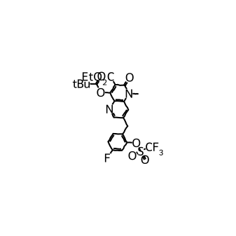 CCOC(=O)c1c(OC(=O)C(C)(C)C)c2ncc(Cc3ccc(F)cc3OS(=O)(=O)C(F)(F)F)cc2n(C)c1=O